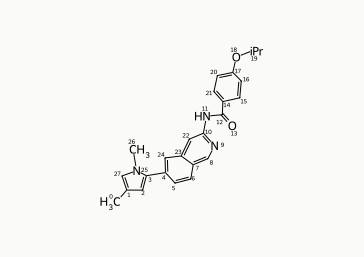 Cc1cc(-c2ccc3cnc(NC(=O)c4ccc(OC(C)C)cc4)cc3c2)n(C)c1